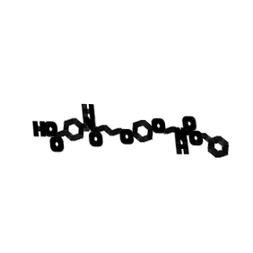 O=C(CCCOC1CCC(OCCNC(=O)OCc2ccccc2)CC1)NC1CCC(C(=O)O)CC1